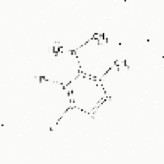 Cc1ccc(F)c(F)c1C(C)C